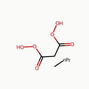 CCCC.O=C(CC(=O)OO)OO